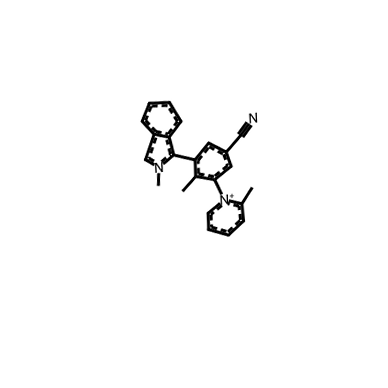 Cc1c(-c2c3ccccc3cn2C)cc(C#N)cc1-[n+]1ccccc1C